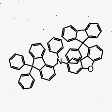 c1ccc(N(c2ccc3oc4cccc(C5(c6ccccc6)c6ccccc6-c6ccccc65)c4c3c2)c2cccc3c2-c2ccccc2C3(c2ccccc2)c2ccccc2)cc1